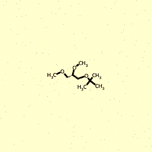 COC[C@@H](COC(C)(C)C)OC